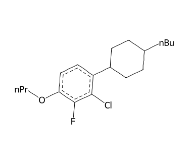 CCCCC1CCC(c2ccc(OCCC)c(F)c2Cl)CC1